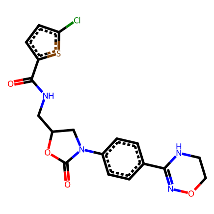 O=C(NCC1CN(c2ccc(C3=NOCCN3)cc2)C(=O)O1)c1ccc(Cl)s1